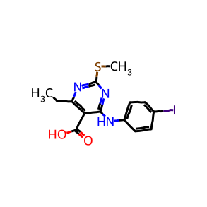 CCc1nc(SC)nc(Nc2ccc(I)cc2)c1C(=O)O